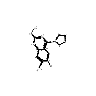 CCNc1nc(N2CCCC2)c2cc(O)c(O)cc2n1